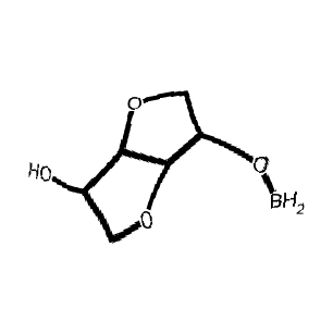 BOC1COC2C(O)COC12